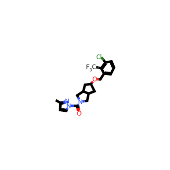 Cc1ccn(C(=O)N2CC3CC(OCc4cccc(Cl)c4C(F)(F)F)CC3C2)n1